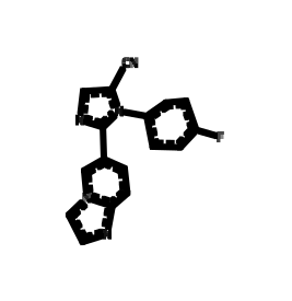 N#Cc1cnc(-c2ccc3nccn3c2)n1-c1ccc(F)cc1